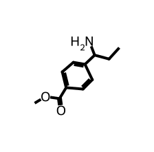 CCC(N)c1ccc(C(=O)OC)cc1